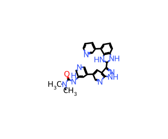 CN(C)C(=O)Nc1cncc(-c2cnc3[nH]nc(C4Nc5cccc(-c6cccnc6)c5N4)c3c2)c1